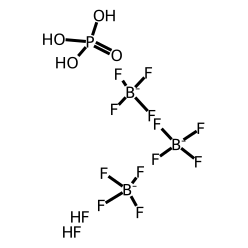 F.F.F[B-](F)(F)F.F[B-](F)(F)F.F[B-](F)(F)F.O=P(O)(O)O